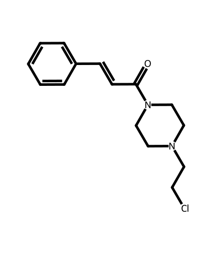 O=C(C=Cc1ccccc1)N1CCN(CCCl)CC1